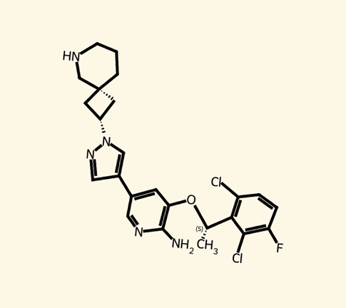 C[C@H](Oc1cc(-c2cnn([C@H]3C[C@]4(CCCNC4)C3)c2)cnc1N)c1c(Cl)ccc(F)c1Cl